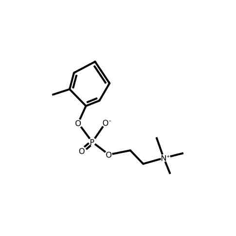 Cc1ccccc1OP(=O)([O-])OCC[N+](C)(C)C